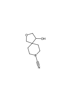 N#CB1CCC2(CC1)COCC2O